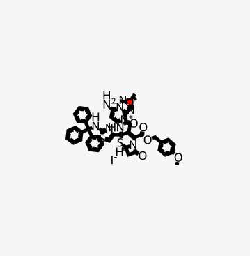 CON=CC(=O)NC1(c2csc(NC(c3ccccc3)(c3ccccc3)c3ccccc3)n2)S[C@H]2CC(=O)N2C(C(=O)OCc2ccc(OC)cc2)=C1C[n+]1ccc(N)n2nc(C)cc21.[I-]